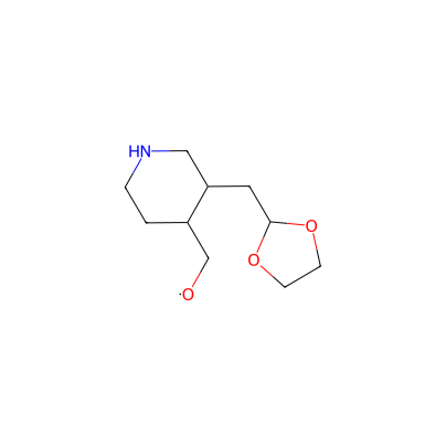 [O]CC1CCNCC1CC1OCCO1